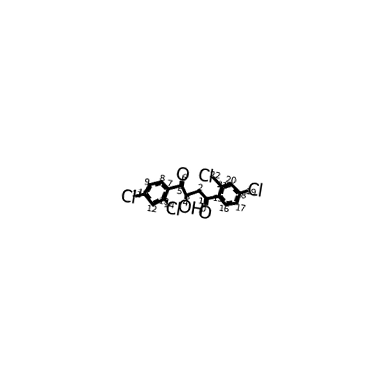 O=C(CC(O)C(=O)c1ccc(Cl)cc1Cl)c1ccc(Cl)cc1Cl